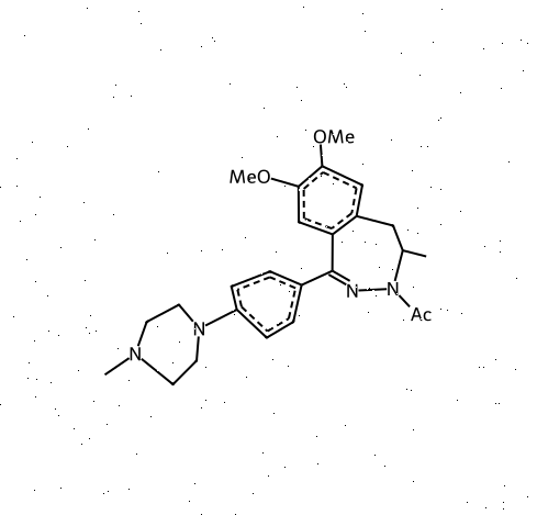 COc1cc2c(cc1OC)C(c1ccc(N3CCN(C)CC3)cc1)=NN(C(C)=O)C(C)C2